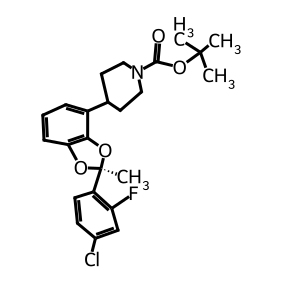 CC(C)(C)OC(=O)N1CCC(c2cccc3c2O[C@@](C)(c2ccc(Cl)cc2F)O3)CC1